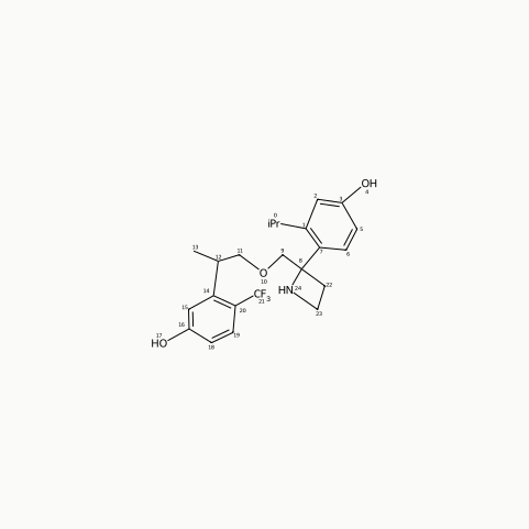 CC(C)c1cc(O)ccc1C1(COCC(C)c2cc(O)ccc2C(F)(F)F)CCN1